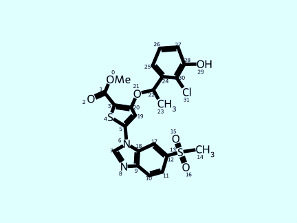 COC(=O)c1sc(-n2cnc3ccc(S(C)(=O)=O)cc32)cc1OC(C)c1cccc(O)c1Cl